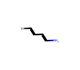 CC/C=C/C=C/N